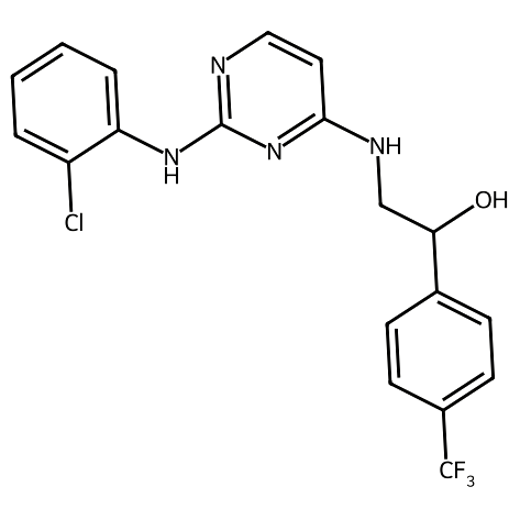 OC(CNc1ccnc(Nc2ccccc2Cl)n1)c1ccc(C(F)(F)F)cc1